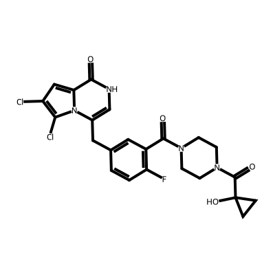 O=C(c1cc(Cc2c[nH]c(=O)c3cc(Cl)c(Cl)n23)ccc1F)N1CCN(C(=O)C2(O)CC2)CC1